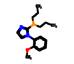 CCCP(CCC)c1nccn1-c1ccccc1OC